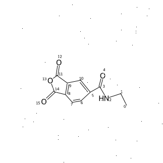 CCNC(=O)c1ccc2c(c1)C(=O)OC2=O